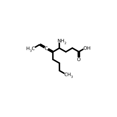 CC=C=C(CCCC)C(N)CCC(=O)O